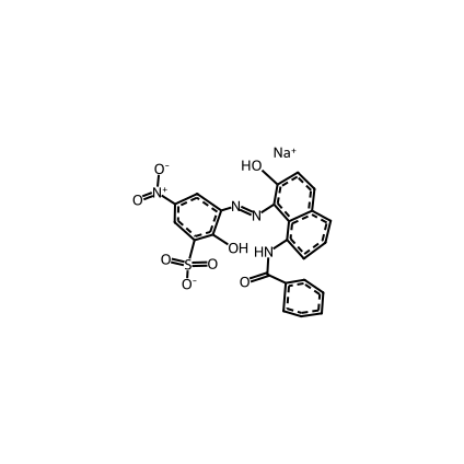 O=C(Nc1cccc2ccc(O)c(N=Nc3cc([N+](=O)[O-])cc(S(=O)(=O)[O-])c3O)c12)c1ccccc1.[Na+]